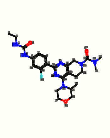 CCNC(=O)Nc1ccc(-c2nc3c(c(N4CCOCC4C)n2)CCN(C(=O)N(C)C)C3)c(F)c1